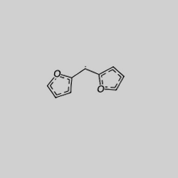 [CH](c1ccco1)c1ccco1